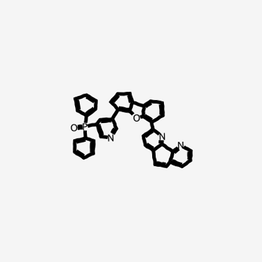 O=P(c1ccccc1)(c1ccccc1)c1cncc(-c2cccc3c2oc2c(-c4ccc5ccc6cccnc6c5n4)cccc23)c1